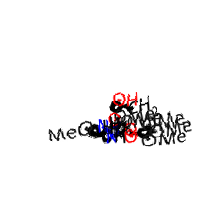 C=CCc1ccccc1O.COC(=O)[C@H]1[C@H]2C[C@@H]3c4[nH]c5cc(OC)ccc5c4CCN3C[C@H]2C[C@@H](OC(=O)c2cc(OC)c(OC)c(OC)c2)[C@@H]1OC